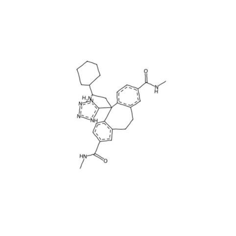 CNC(=O)c1ccc2c(c1)CCc1cc(C(=O)NC)ccc1C2(C[C@H](N)C1CCCCC1)c1nnn[nH]1